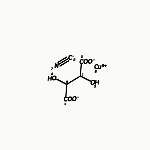 O=C([O-])C(O)C(O)C(=O)[O-].[C-]#N.[Cu+3]